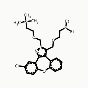 CCN(CC)CCOCc1c2c(nn1COCC[Si](C)(C)C)-c1cc(Cl)ccc1Oc1ccccc1-2